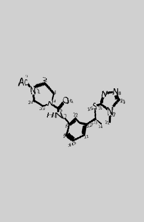 CC(=O)N1CCN(C(=O)Nc2cccc([C@H](C)Sc3nncn3C)c2)CC1